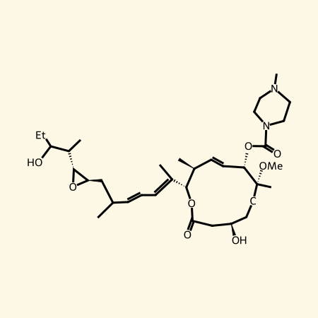 CCC(O)C(C)[C@H]1O[C@@H]1CC(C)/C=C/C=C(\C)[C@H]1OC(=O)C[C@H](O)CC[C@@](C)(OC)[C@@H](OC(=O)N2CCN(C)CC2)/C=C/[C@@H]1C